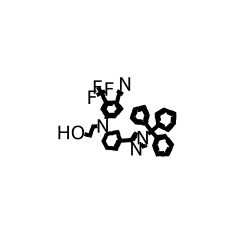 N#Cc1ccc(N(CCO)C2CCC=C(c3cn(C(c4ccccc4)(c4ccccc4)c4ccccc4)cn3)C2)cc1C(F)(F)F